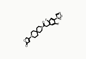 O=C1C=C(N2CCC3(CCN(C(=O)Cc4cc(F)c(-n5cnnn5)cc4F)CC3)CC2)CO1